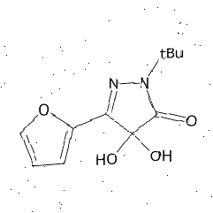 CC(C)(C)N1N=C(c2ccco2)C(O)(O)C1=O